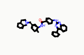 Cc1ccc(CN2CCc3ccccc3C2)cc1NC(=O)c1ccc(Nc2nc(-c3ccccc3)c3ccccc3n2)cc1